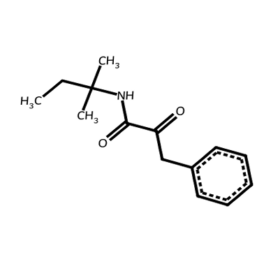 CCC(C)(C)NC(=O)C(=O)Cc1ccccc1